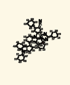 N#Cc1cc(-c2nc(-c3ccccc3)nc(-c3ccccc3)n2)c(-n2c3ccccc3c3c(-c4cccc5c4c4ccccc4n5-c4ccccc4)cccc32)cc1-c1ccccc1